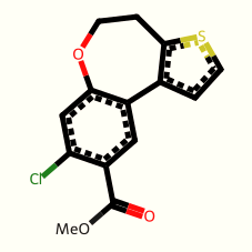 COC(=O)c1cc2c(cc1Cl)OCCc1sccc1-2